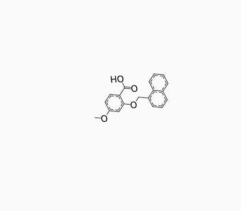 COc1ccc(C(=O)O)c(OCc2cccc3ccccc23)c1